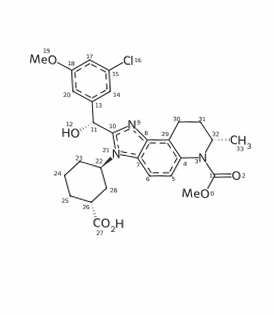 COC(=O)N1c2ccc3c(nc([C@H](O)c4cc(Cl)cc(OC)c4)n3[C@@H]3CCC[C@@H](C(=O)O)C3)c2CC[C@@H]1C